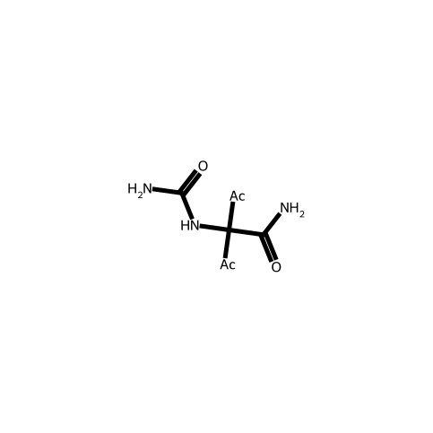 CC(=O)C(NC(N)=O)(C(C)=O)C(N)=O